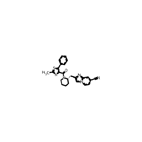 Cc1nc(C(=O)N2CCCC[C@H]2Cc2cn3ccc(C#N)cc3n2)c(-c2ccccc2)s1